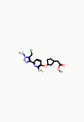 Cc1nc(-c2nnn(C)c2CBr)ccc1OC1CCC(CC(=O)OC(C)C)C1